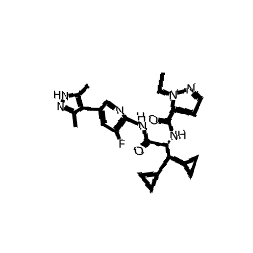 CCn1nccc1C(=O)N[C@@H](C(=O)Nc1ncc(-c2c(C)n[nH]c2C)cc1F)C(C1CC1)C1CC1